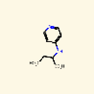 O=C(O)CC(Nc1ccncc1)C(=O)O